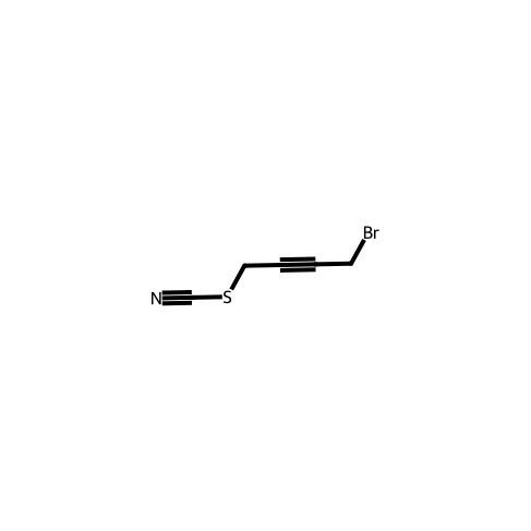 N#CSCC#CCBr